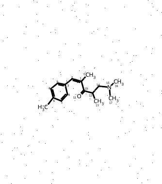 CC(=Cc1ccc(C)cc1)C(=O)C(C)CN(C)C